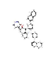 c1cc(-c2cccc3ccccc23)cc(N(c2ccc(-c3ccc4ccccc4c3)cc2)c2cccc3cc4c(cc23)oc2cnccc24)c1